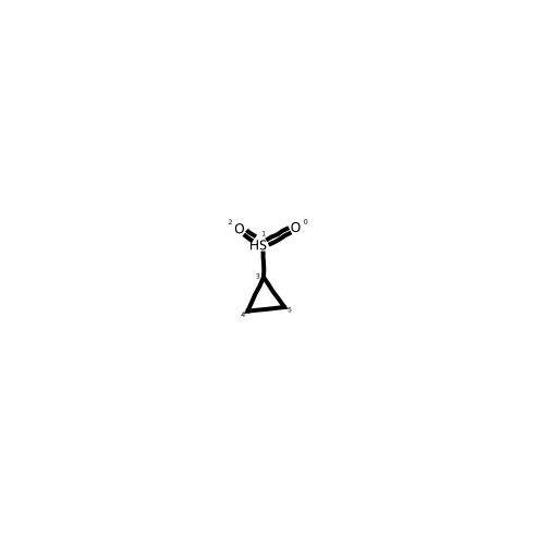 O=[SH](=O)C1CC1